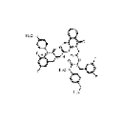 CCc1ccc(N(C)C(=O)[C@H](Cc2cc(F)cc(F)c2)NC(=O)Cn2c(=O)c3ccccc3c(=O)n2CC(=O)N[C@@H](Cc2cc(F)cc(F)c2)C(=O)N(C)c2ccc(OC)cc2)cc1